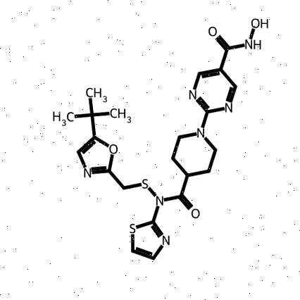 CC(C)(C)c1cnc(CSN(C(=O)C2CCN(c3ncc(C(=O)NO)cn3)CC2)c2nccs2)o1